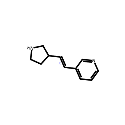 C(=C\C1CCNC1)/c1cccnc1